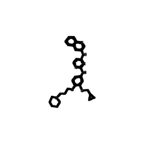 c1ccc2ncc(Nc3ccnc(Nc4ccc(OCCCN5CCCCC5)c(OCC5CC5)c4)n3)cc2c1